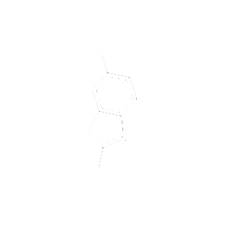 CCc1ccc2c(c1)CC(C)=N2